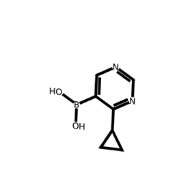 OB(O)c1cncnc1C1CC1